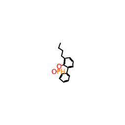 CCCCc1cccc2c1O[PH](=O)c1ccccc1-2